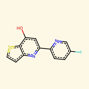 Oc1cc(-c2ccc(F)cn2)nc2ccsc12